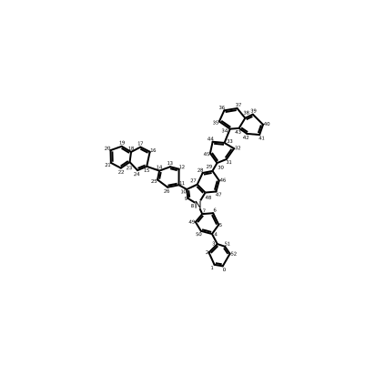 c1ccc(-c2ccc(-n3cc(-c4ccc(-c5ccc6ccccc6c5)cc4)c4cc(-c5ccc(-c6cccc7ccccc67)cc5)ccc43)cc2)cc1